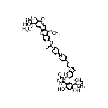 CCc1c2c(nc3ccc(OC(=O)N4CCC(N5CCC(CCn6ccc7ccc(-n8c(O)nnc8-c8cc(C(C)C)c(O)cc8O)cc76)CC5)CC4)cc13)-c1cc3c(c(=O)n1C2)COC(=O)C3(O)CC